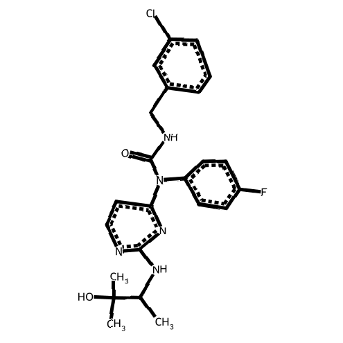 CC(Nc1nccc(N(C(=O)NCc2cccc(Cl)c2)c2ccc(F)cc2)n1)C(C)(C)O